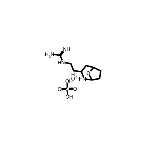 N=C(N)NCCC1CC2CCC(N1)O2.O.O=S(=O)(O)O